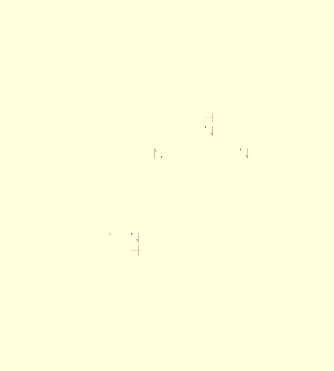 CC(C)Nc1cnc2[nH]ncc2c1